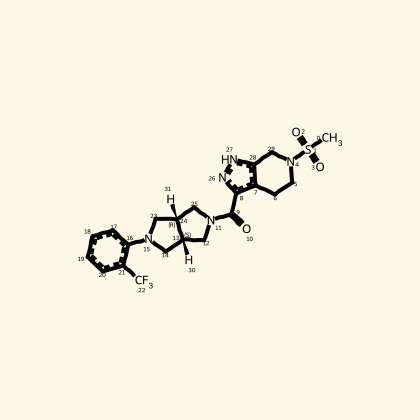 CS(=O)(=O)N1CCc2c(C(=O)N3C[C@@H]4CN(c5ccccc5C(F)(F)F)C[C@@H]4C3)n[nH]c2C1